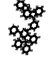 c1ccc(-c2nc(-c3cccc(-n4c5ccccc5c5c6oc7ccccc7c6ccc54)c3)c3c(n2)[Si](c2ccccc2)(c2ccccc2)c2ccccc2-3)cc1